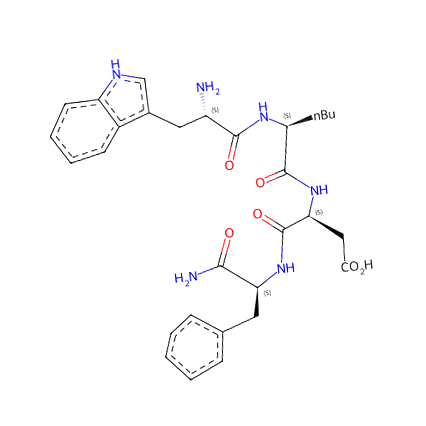 CCCC[C@H](NC(=O)[C@@H](N)Cc1c[nH]c2ccccc12)C(=O)N[C@@H](CC(=O)O)C(=O)N[C@@H](Cc1ccccc1)C(N)=O